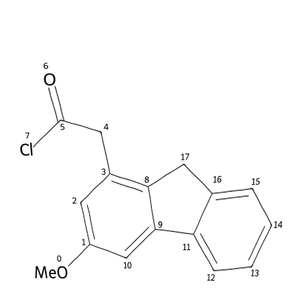 COc1cc(CC(=O)Cl)c2c(c1)-c1ccccc1C2